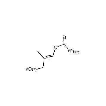 CCCCCCCCC/C(C)=C/OC(CC)CCCCC